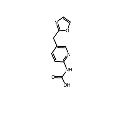 O=C(O)Nc1ccc(Cc2ncco2)cn1